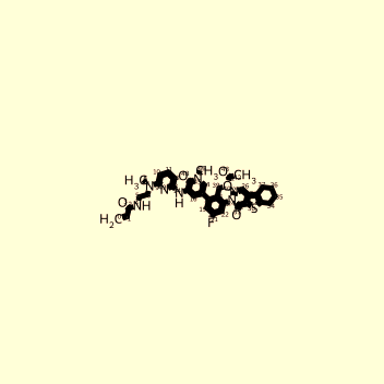 C=CC(=O)NCCN(C)c1cccc(Nc2cc(-c3cc(F)cc(-n4ncc5c6c(sc5c4=O)CCCC6)c3COC(C)=O)cn(C)c2=O)n1